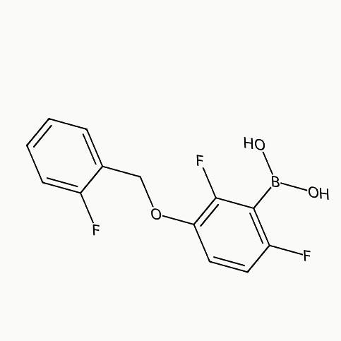 OB(O)c1c(F)ccc(OCc2ccccc2F)c1F